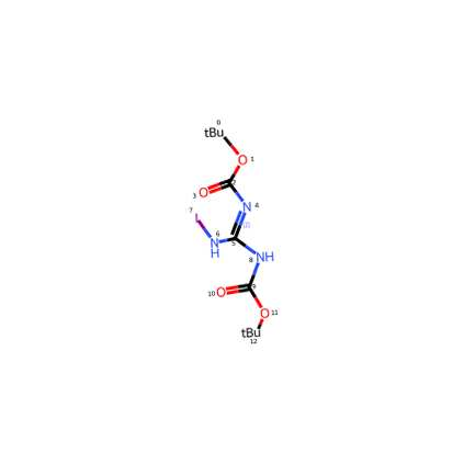 CC(C)(C)OC(=O)/N=C(\NI)NC(=O)OC(C)(C)C